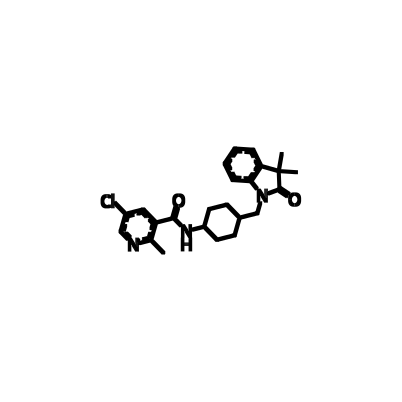 Cc1ncc(Cl)cc1C(=O)NC1CCC(CN2C(=O)C(C)(C)c3ccccc32)CC1